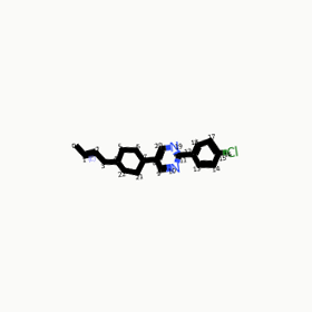 C/C=C/CC1CCC(c2cnc(-c3ccc(Cl)cc3)nc2)CC1